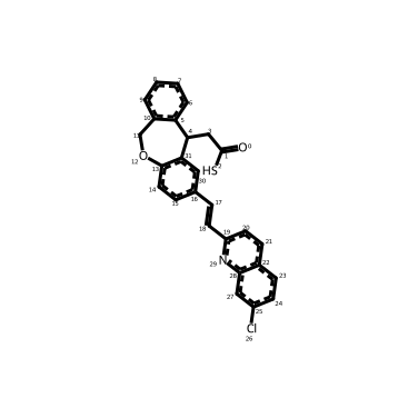 O=C(S)CC1c2ccccc2COc2ccc(C=Cc3ccc4ccc(Cl)cc4n3)cc21